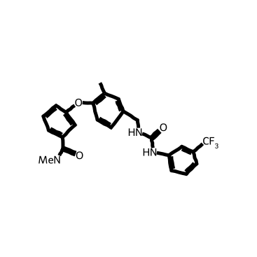 CNC(=O)c1cccc(Oc2ccc(CNC(=O)Nc3cccc(C(F)(F)F)c3)cc2C)c1